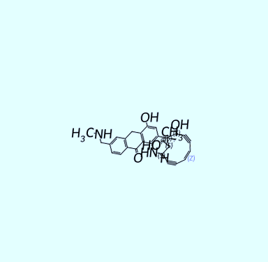 CNCc1ccc2c(c1)Cc1c(O)cc3c(c1C2=O)N[C@H]1C#C/C=C\C#C[C@@H](O)[C@@]32C[C@@]12[C@@H](C)O